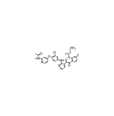 CC(=O)Nc1cc(Oc2ccc(Nc3ncccc3C(=O)Nc3ccc(F)cc3O[C@@H](C)CCN)cc2Cl)ccn1